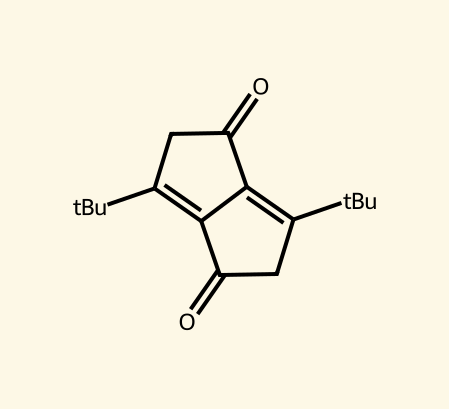 CC(C)(C)C1=C2C(=O)CC(C(C)(C)C)=C2C(=O)C1